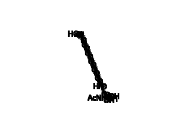 CC(=O)NC1C(OCCCCC(=O)NCCOCCOCCOCCOCCOCCOCCOCCOCCOCCOCCOCCn2cc(CO)nn2)OC(CO)C(O)C1O